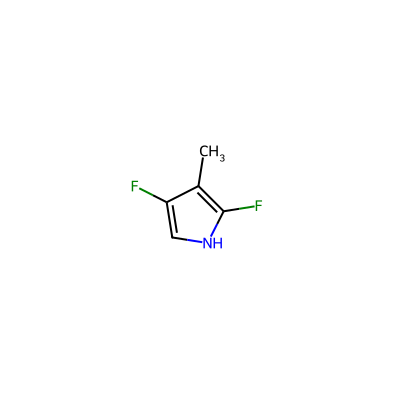 Cc1c(F)c[nH]c1F